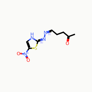 CC(=O)CC/C=N\N=c1/[nH]cc([N+](=O)[O-])s1